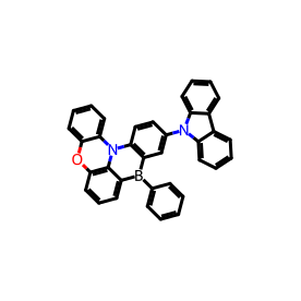 c1ccc(B2c3cc(-n4c5ccccc5c5ccccc54)ccc3N3c4ccccc4Oc4cccc2c43)cc1